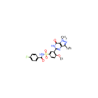 CCCc1nn(C)c2c(=O)[nH]c(-c3cc(S(=O)(=O)NC(=O)c4ccc(F)cc4)ccc3OCC)nc12